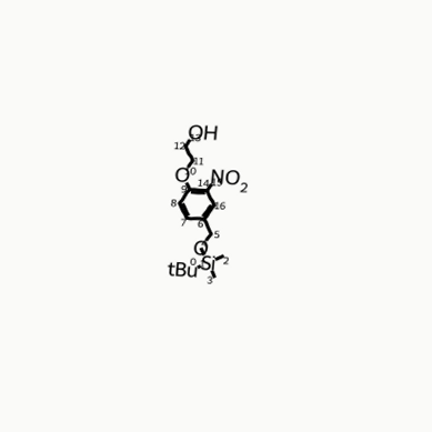 CC(C)(C)[Si](C)(C)OCc1ccc(OCCO)c([N+](=O)[O-])c1